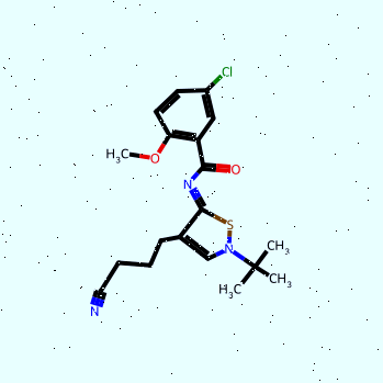 COc1ccc(Cl)cc1C(=O)N=c1sn(C(C)(C)C)cc1CCCC#N